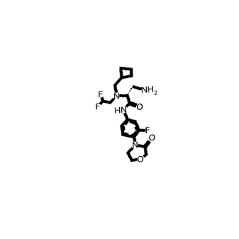 NC[C@H](C(=O)Nc1ccc(N2CCOCC2=O)c(F)c1)N(CC(F)F)CC1CCC1